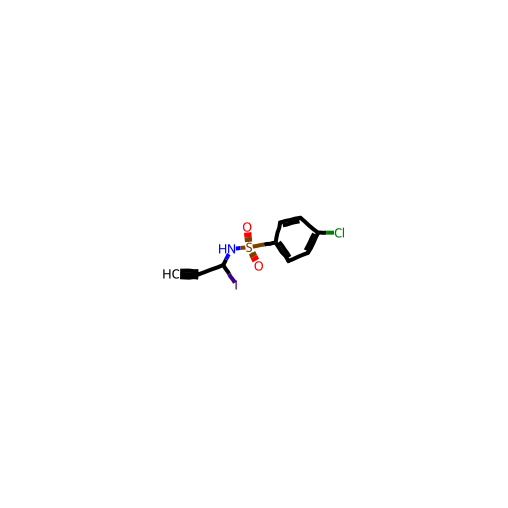 C#CC(I)NS(=O)(=O)c1ccc(Cl)cc1